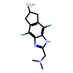 CCOC(=O)C1Cc2c(c(F)c3[nH]c(CN(C)C)nc3c2F)C1